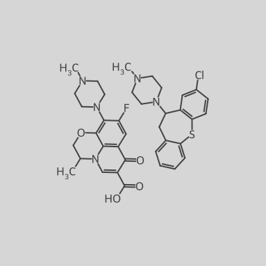 CC1COc2c(N3CCN(C)CC3)c(F)cc3c(=O)c(C(=O)O)cn1c23.CN1CCN(C2Cc3ccccc3Sc3ccc(Cl)cc32)CC1